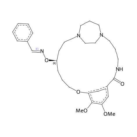 COc1cc2cc(c1OC)OCCC[C@@H](O/N=C/c1ccccc1)CCN1CCCN(CCCNC2=O)CC1